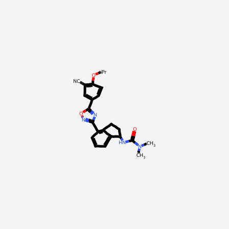 CC(C)Oc1ccc(-c2nc(-c3cccc4c3CCC4NC(=O)N(C)C)no2)cc1C#N